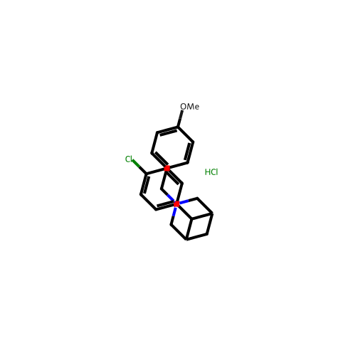 COc1ccc(CN2CC3CC(C2)C3c2ccc(Cl)cc2)cc1.Cl